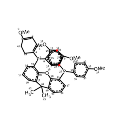 COC1=CC=C(P(c2ccc(OC)cc2)c2cccc3c2Oc2c(P(c4ccc(OC)cc4)c4ccc(OC)cc4)cccc2C3(C)C)CC1